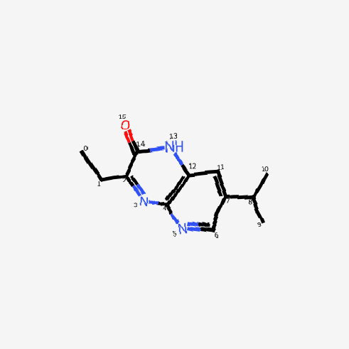 CCc1nc2ncc(C(C)C)cc2[nH]c1=O